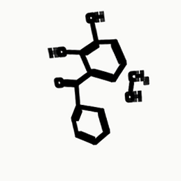 CO.O=C(c1ccccc1)c1cccc(O)c1O